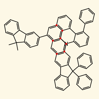 CC1(C)c2ccccc2-c2cc(-c3cccc(N(c4ccc5c(c4)C(c4ccccc4)(c4ccccc4)c4ccccc4-5)c4cccc(-c5ccccc5)c4-c4ccccc4-c4ccccc4)c3)ccc21